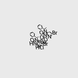 CC(c1ccccc1)n1c(=O)[nH]c2ncc(Br)cc21.CC(c1ccccc1)n1c(=O)n(C(=O)OC(C)(C)C)c2ncc(Br)cc21.Cl